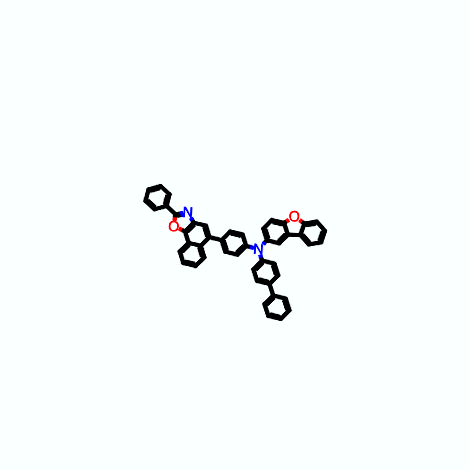 c1ccc(-c2ccc(N(c3ccc(-c4cc5nc(-c6ccccc6)oc5c5ccccc45)cc3)c3ccc4oc5ccccc5c4c3)cc2)cc1